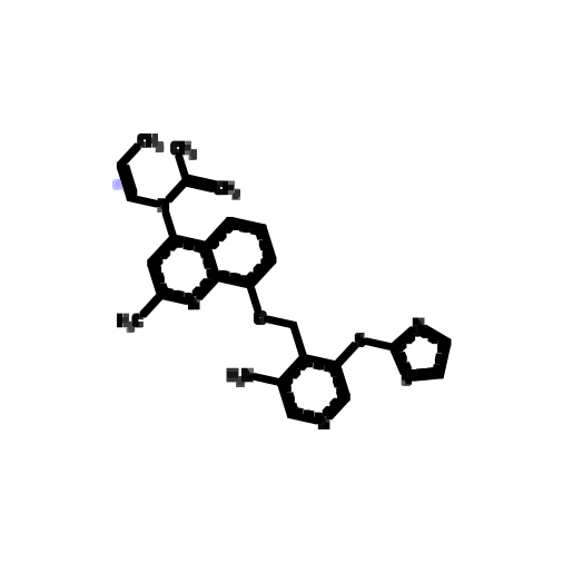 C=C(C)N(/C=C\C)c1cc(C)nc2c(OCc3c(N)cncc3Sc3nccs3)cccc12